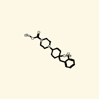 COC1(Cc2ccccc2Cl)CCC(N2CCN(C(=O)OC(C)(C)C)CC2)CC1